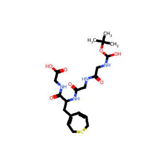 CC(C)(C)OC(O)NCC(=O)NCC(=O)NC(CC1=CCSCC=C1)C(=O)NCC(=O)O